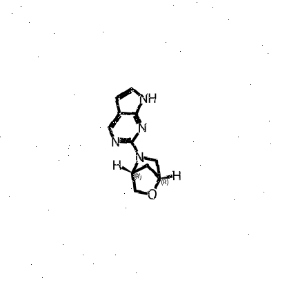 c1cc2cnc(N3C[C@H]4C[C@@H]3CO4)nc2[nH]1